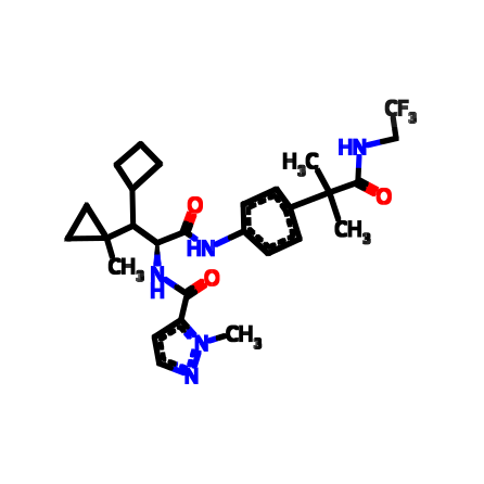 Cn1nccc1C(=O)N[C@H](C(=O)Nc1ccc(C(C)(C)C(=O)NCC(F)(F)F)cc1)C(C1CCC1)C1(C)CC1